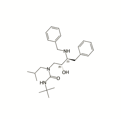 CC(C)CN(C[C@@H](O)[C@H](Cc1ccccc1)NCc1ccccc1)C(=O)NC(C)(C)C